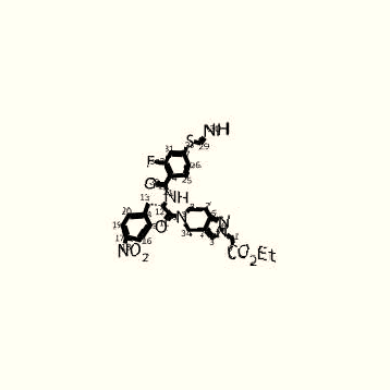 CCOC(=O)Cn1cc2c(n1)CCN(C(=O)[C@H](Cc1ccc([N+](=O)[O-])cc1)NC(=O)c1ccc(SC=N)cc1F)C2